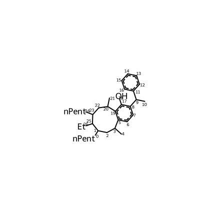 CCCCCC1CC(C)c2ccc(C(C)c3ccccc3)c(O)c2C(C)CC(CCCCC)C1CC